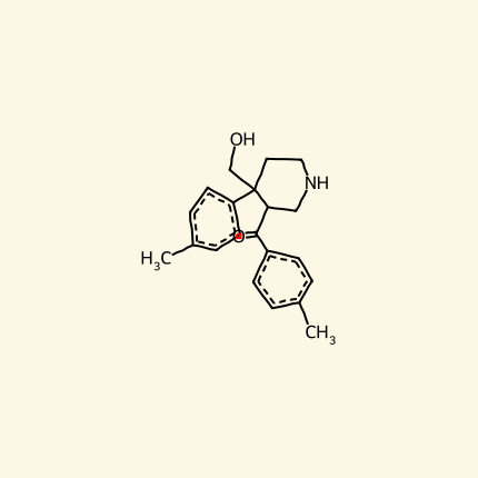 Cc1ccc(C(=O)C2CNCCC2(CO)c2ccc(C)cc2)cc1